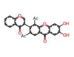 CC(=O)c1cc2c(=O)c3cc(O)c(O)cc3oc2c(C(C)=O)c1-c1coc2ccccc2c1=O